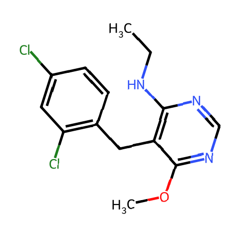 CCNc1ncnc(OC)c1Cc1ccc(Cl)cc1Cl